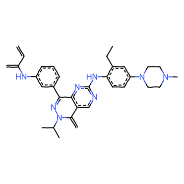 C=CC(=C)Nc1cccc(C2=NN(C(C)C)C(=C)c3cnc(Nc4ccc(N5CCN(C)CC5)cc4CC)nc32)c1